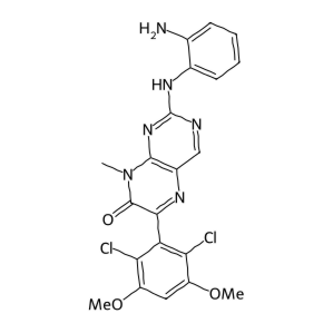 COc1cc(OC)c(Cl)c(-c2nc3cnc(Nc4ccccc4N)nc3n(C)c2=O)c1Cl